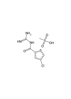 CS(=O)(=O)O.N=C(N)NC(=O)c1cc(Cl)cs1